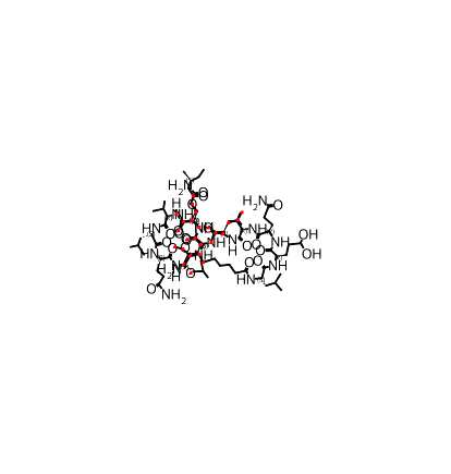 CCCCCCCCCC(=O)N[C@@H](CC(C)C)C(=O)N[C@H](CCC(O)O)C(=O)N[C@H](CCC(N)=O)C(=O)N[C@@H](C(=O)N[C@H](CC(C)C)C(=O)N[C@@H](CCC(N)=O)C(=O)N[C@H](COC(=O)C[C@@H](C)CC)C(=O)N[C@@H](C(=O)N[C@@H](CC(C)C)C(=O)N[C@H](CCC(N)=O)C(=O)N[C@@H](CC(C)C)C(=O)N[C@@H](CC(C)C)C(=O)N[C@H](CCC(N)=O)C(N)=O)C(C)C)C(C)C